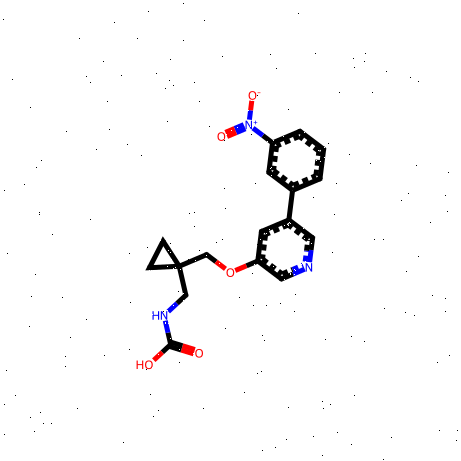 O=C(O)NCC1(COc2cncc(-c3cccc([N+](=O)[O-])c3)c2)CC1